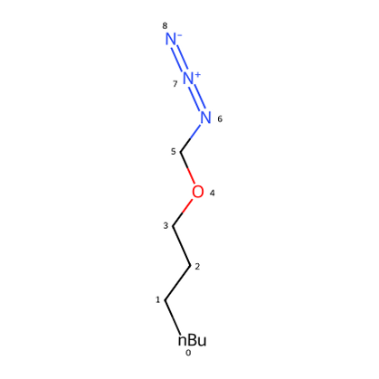 CCCCCCCOCN=[N+]=[N-]